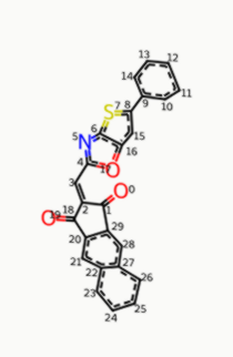 O=C1C(=Cc2nc3sc(-c4ccccc4)cc3o2)C(=O)c2cc3ccccc3cc21